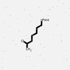 [CH2]C([O])CCCCCCCCCC